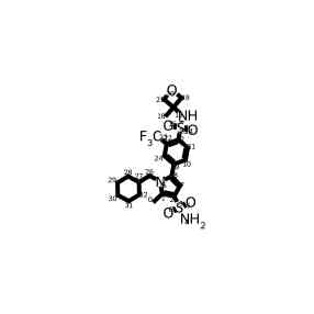 Cc1c(S(N)(=O)=O)cc(-c2ccc(S(=O)(=O)NC3(C)COC3)c(C(F)(F)F)c2)n1CC1CCCCC1